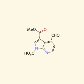 COC(=O)c1cn(C(=O)O)c2nccc(C=O)c12